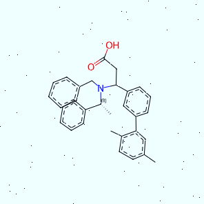 Cc1ccc(C)c(-c2cccc(C(CC(=O)O)N(Cc3ccccc3)[C@H](C)c3ccccc3)c2)c1